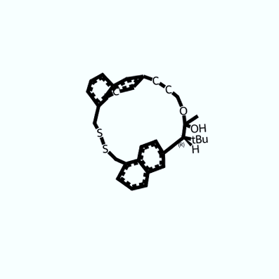 CC(C)(C)[C@@H]1c2ccc3c(cccc3c2)CSSCc2cccc3cc(ccc23)CCCOC1(C)O